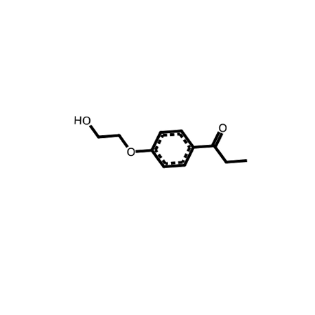 CCC(=O)c1ccc(OCCO)cc1